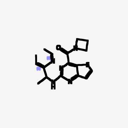 C/C=N\C(=C/C)C(C)Nc1nc(C(=O)N2CCC2)c2sccc2n1